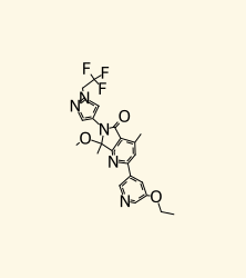 CCOc1cncc(-c2cc(C)c3c(n2)C(C)(OC)N(c2cnn(CC(F)(F)F)c2)C3=O)c1